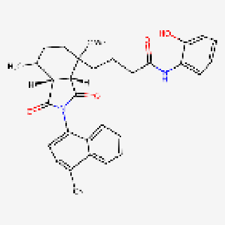 COC1(CCCC(=O)Nc2ccccc2O)CCC(C)[C@H]2C(=O)N(c3ccc(C#N)c4ccccc34)C(=O)[C@H]21